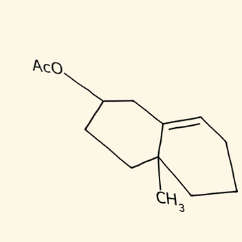 CC(=O)OC1CCC2(C)CCCC=C2C1